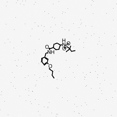 CCCCOc1cccc(CNC(=O)C2CCC(NS(=O)(=O)C(C)(C)CC)CC2)c1